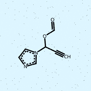 C#CC(OC=O)n1ccnc1